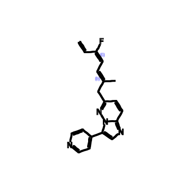 C=C/C(F)=C\C=C(/C)Cc1ccc2ncc(-c3ccncc3)n2n1